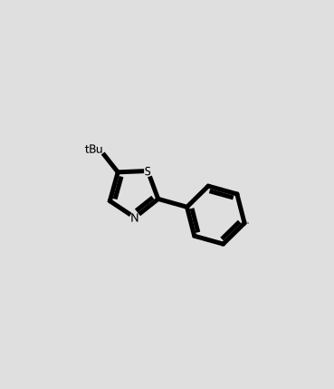 CC(C)(C)c1cnc(-c2cc[c]cc2)s1